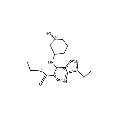 CCOC(=O)c1cnc2c(cnn2CC)c1NC1CCC[C@H](O)C1